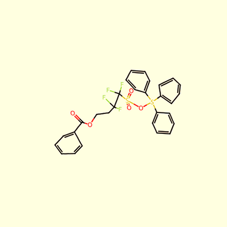 O=C(OCCC(F)(F)C(F)(F)S(=O)(=O)OS(c1ccccc1)(c1ccccc1)c1ccccc1)c1ccccc1